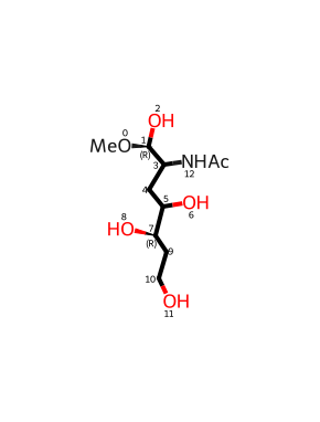 CO[C@@H](O)C(CC(O)[C@H](O)CCO)NC(C)=O